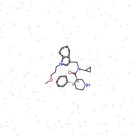 COCCCn1cc(CN(C(=O)[C@H]2CNCC[C@@H]2c2ccccc2)C2CC2)c2ccccc21